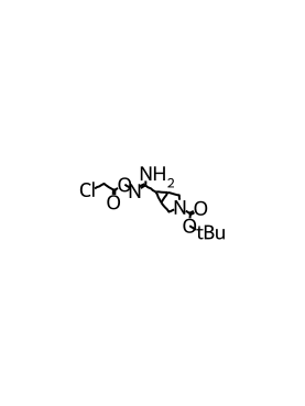 CC(C)(C)OC(=O)N1CC2C(C1)C2/C(N)=N/OC(=O)CCl